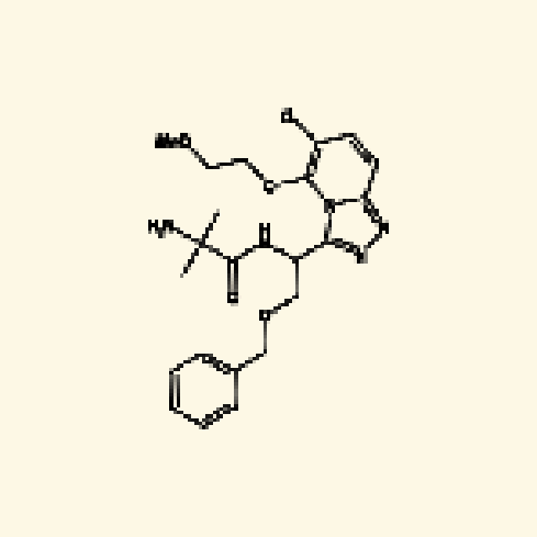 COCCOc1c(Cl)ccc2nnc(C(COCc3ccccc3)NC(=O)C(C)(C)N)n12